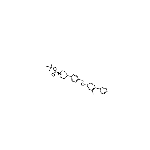 Cc1cc(OCc2ccc(C3CCN(C(=O)OC(C)(C)C)CC3)cc2)ccc1-c1ccccc1